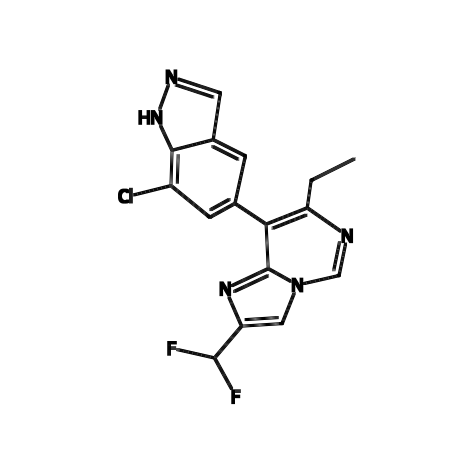 CCc1ncn2cc(C(F)F)nc2c1-c1cc(Cl)c2[nH]ncc2c1